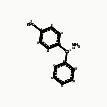 CCCc1ccc(Oc2ccccc2)cc1.N